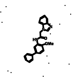 COc1ccc(-c2ccccc2)cc1NC(=O)Cn1cnc2ccccc21